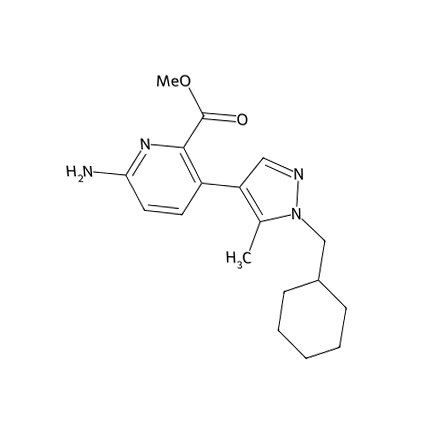 COC(=O)c1nc(N)ccc1-c1cnn(CC2CCCCC2)c1C